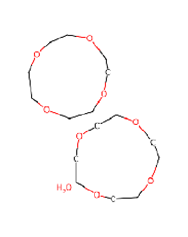 C1COCCOCCOCCO1.C1COCCOCCOCCO1.O